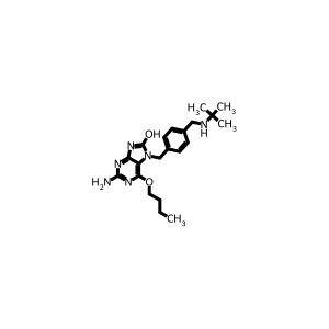 CCCCOc1nc(N)nc2nc(O)n(Cc3ccc(CNC(C)(C)C)cc3)c12